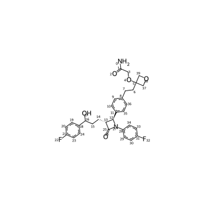 NC(=O)COC1(CCc2ccc([C@@H]3[C@@H](CCC(O)c4ccc(F)cc4)C(=O)N3c3ccc(F)cc3)cc2)COC1